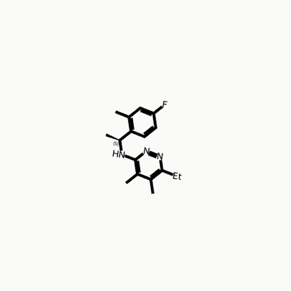 CCc1nnc(N[C@@H](C)c2ccc(F)cc2C)c(C)c1C